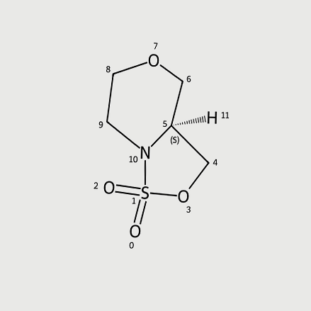 O=S1(=O)OC[C@@H]2COCCN21